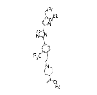 C=C(OCC)C1CCN(CCc2ccc(-c3noc(-c4cc(CC(C)C)n(CC)n4)n3)cc2C(F)(F)F)CC1